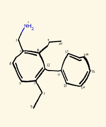 CCc1ccc(CN)c(CC)c1-c1ccccc1